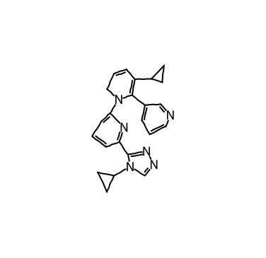 C1=CC(C2CC2)=C(c2cccnc2)N(c2cccc(-c3nncn3C3CC3)n2)C1